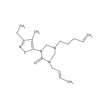 C=CCCCN1CN(C/C=C/C)C(=O)N(c2snc(CC)c2C)C1